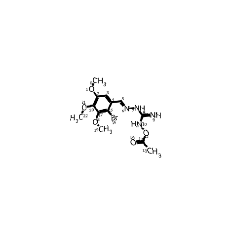 COc1cc(C=NNC(=N)NOC(C)=O)c(Br)c(OC)c1OC